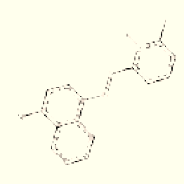 Cc1cccc(N=Nc2ccc(N)c3ccccc23)[n+]1[O-]